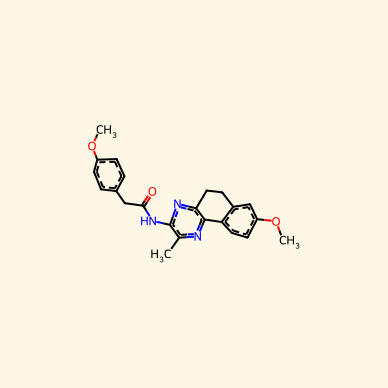 COc1ccc(CC(=O)Nc2nc3c(nc2C)-c2ccc(OC)cc2CC3)cc1